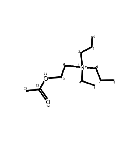 CCC[N+](CC)(CCC)CCOC(C)=O